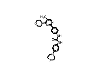 Cc1cnc(-c2ccc(NC(=O)Nc3ccc(N4CCOCC4)cc3)cc2)nc1N1CCOCC1